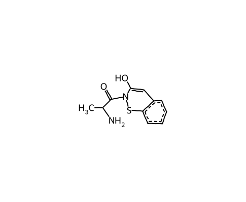 CC(N)C(=O)N1Sc2ccccc2C=C1O